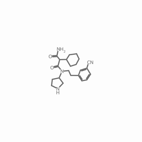 N#Cc1cccc(CCN(C(=O)C(C(N)=O)C2CCCCC2)C2CCNC2)c1